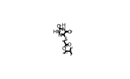 CC(C)C(C)OC(=O)CSc1n[nH]c(=O)[nH]c1=O